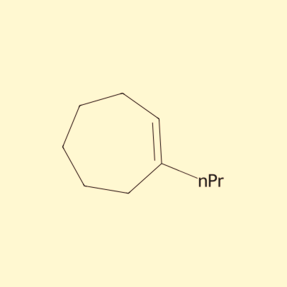 CCCC1=CCCCCC1